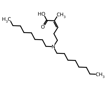 CCCCCCCCN(CCC=C(C)C(=O)O)CCCCCCCC